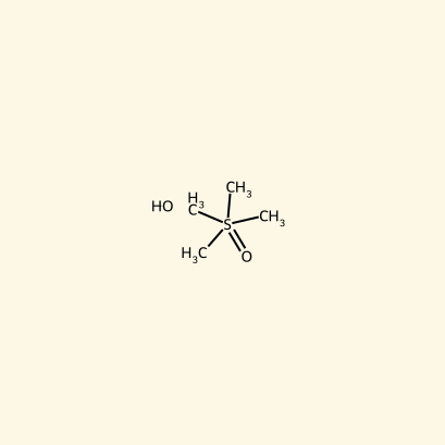 CS(C)(C)(C)=O.[OH]